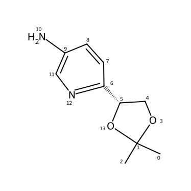 CC1(C)OC[C@@H](c2ccc(N)cn2)O1